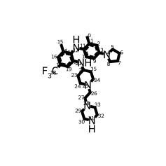 Cc1cc(N2CCCC2)ccc1Nc1c(C)cc(C(F)(F)F)cc1NC1CCN(CCN2CCNCC2)CC1